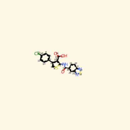 O=C(Nc1scc(-c2ccc(Cl)cc2)c1C(=O)O)c1ccc2nsnc2c1